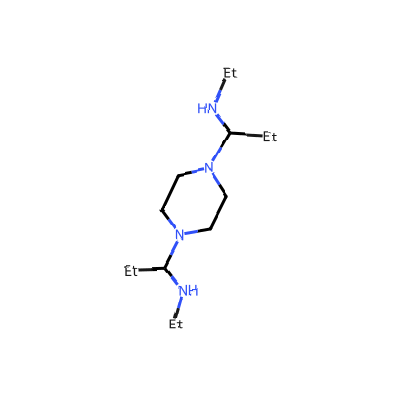 CCNC(CC)N1CCN(C(CC)NCC)CC1